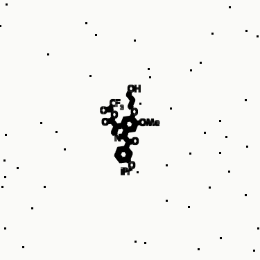 COc1cc2c(C(=O)c3cccc(OC(C)C)c3)ncc(C(=O)OC(=O)C(F)(F)F)c2cc1OCCCO